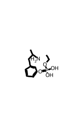 CC(N)Cc1ccccc1.CCOP(=O)(O)O